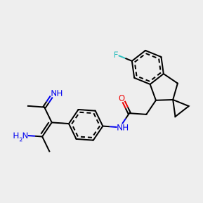 CC(=N)/C(=C(/C)N)c1ccc(NC(=O)CC2c3cc(F)ccc3CC23CC3)cc1